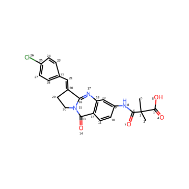 CC(C)(C(=O)O)C(=O)Nc1ccc2c(=O)n3c(nc2c1)C(=Cc1ccc(Cl)cc1)CC3